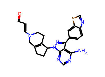 Nc1ncnc2c1c(-c1ccc3ncsc3c1)nn2C1CCC2=C1CCN(C=CC=O)C2